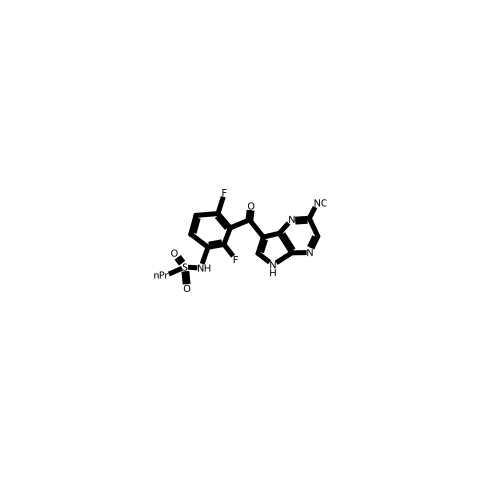 [C-]#[N+]c1cnc2[nH]cc(C(=O)c3c(F)ccc(NS(=O)(=O)CCC)c3F)c2n1